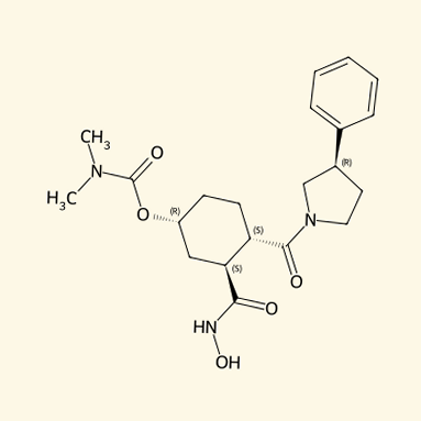 CN(C)C(=O)O[C@@H]1CC[C@H](C(=O)N2CC[C@H](c3ccccc3)C2)[C@@H](C(=O)NO)C1